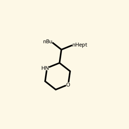 CCCCCCCC(CCCC)C1COCCN1